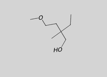 CCC(C)(CO)CCOC